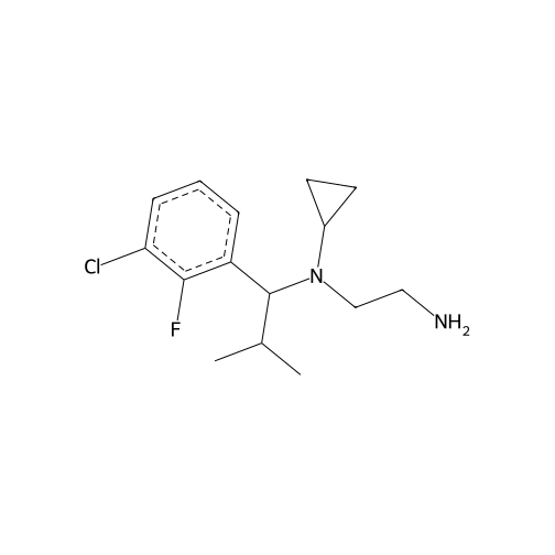 CC(C)C(c1cccc(Cl)c1F)N(CCN)C1CC1